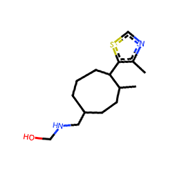 Cc1ncsc1C1CCCC(CNCO)CCC1C